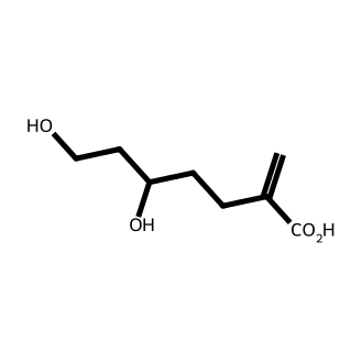 C=C(CCC(O)CCO)C(=O)O